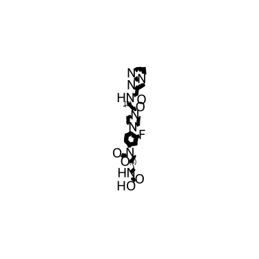 C[C@H](NC(=O)c1cn2cccnc2n1)C(=O)N1CCN(c2ccc(N3C[C@H](CNC(=O)O)OC3=O)cc2F)CC1